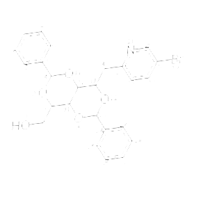 OCC1OC(c2ccccc2)OC2C(Cc3ccc(Br)cn3)OC(c3ccccc3)OC12